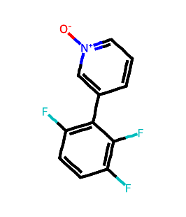 [O-][n+]1cccc(-c2c(F)ccc(F)c2F)c1